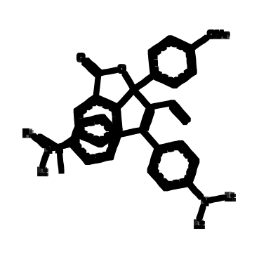 C=CC(=C(c1ccc(N(CC)CC)cc1)c1ccc(N(CC)CC)cc1)C1(c2ccc(OC)cc2)OC(=O)c2cc(N(C)C)ccc21